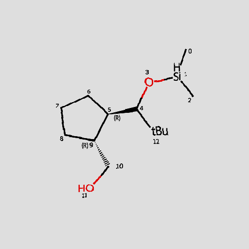 C[SiH](C)OC([C@@H]1CCC[C@H]1CO)C(C)(C)C